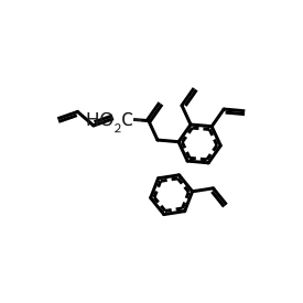 C=CC=C.C=Cc1cccc(CC(=C)C(=O)O)c1C=C.C=Cc1ccccc1